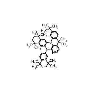 CC(C)(C)c1ccc2c(c1)B1c3cc4c(cc3N(c3ccc5c(c3)C(C)(C)CCC5(C)C)c3ncnc(c31)C2(C)C)C(C)(C)CCC4(C)C